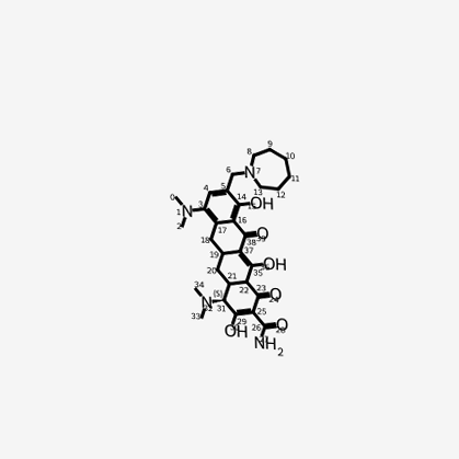 CN(C)c1cc(CN2CCCCCC2)c(O)c2c1CC1CC3C(C(=O)C(C(N)=O)=C(O)[C@H]3N(C)C)C(O)=C1C2=O